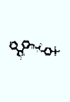 O=C(NCc1cccc(-c2n[nH]cc2-c2ccncc2)c1)Nc1ccc(C(F)(F)F)cc1